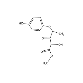 COC(=O)C(O)C(=O)C(C)Oc1ccc(O)cc1